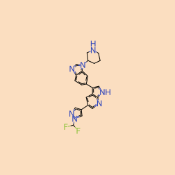 FC(F)n1cc(-c2cnc3[nH]cc(-c4ccc5ncn(C6CCCNC6)c5c4)c3c2)cn1